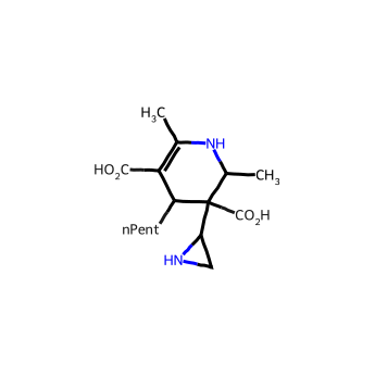 CCCCCC1C(C(=O)O)=C(C)NC(C)C1(C(=O)O)C1CN1